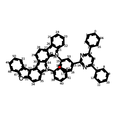 c1ccc(-c2cc(-c3ccccc3)nc(-c3cccc(-n4c5ccccc5c5ccc6c7c8c(ccc7n(-c7ccccc7)c6c54)oc4ccccc48)c3)n2)cc1